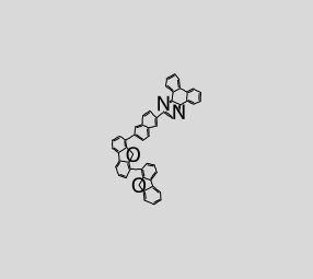 c1ccc2c(c1)oc1c(-c3cccc4c3oc3c(-c5ccc6cc(-c7cnc8c9ccccc9c9ccccc9c8n7)ccc6c5)cccc34)cccc12